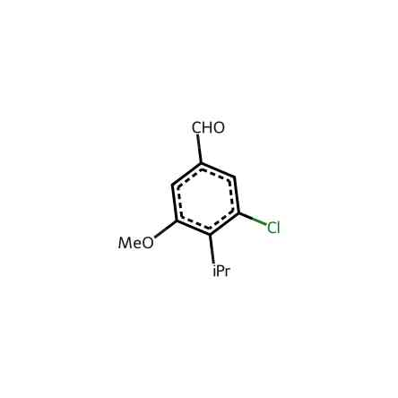 COc1cc(C=O)cc(Cl)c1C(C)C